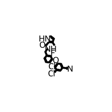 Cc1cc[nH]c1C(=O)NCc1ccc(Cl)c(Oc2cc(Cl)cc(C#N)c2)c1F